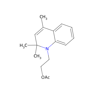 CC(=O)OCCN1c2ccccc2C(C)=CC1(C)C